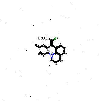 C=CC=CC(=C(F)C(=O)OCC)c1cccc2c1N(CC=C)CCC2